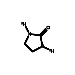 [2H]N1CCN([2H])C1=O